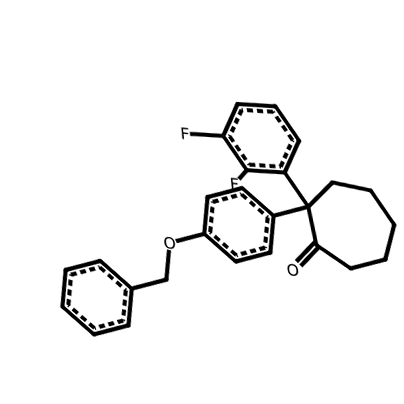 O=C1CCCCCC1(c1ccc(OCc2ccccc2)cc1)c1cccc(F)c1F